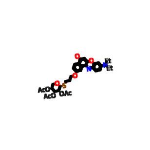 CCN(CC)c1ccc2nc3c4cc(OCCCS[C@H]5OC[C@@H](OC(C)=O)[C@@H](OC(C)=O)[C@@H]5OC(C)=O)ccc4c(=O)cc-3oc2c1